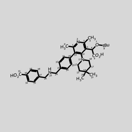 Cc1nc(C)c(C(OC(C)(C)C)C(=O)O)c(N2CCC(C)(C)CC2)c1-c1ccc(CNCc2ccc(C(=O)O)cc2)cc1